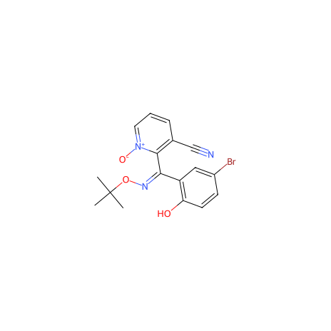 CC(C)(C)ON=C(c1cc(Br)ccc1O)c1c(C#N)ccc[n+]1[O-]